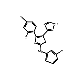 Clc1cccc(Nc2nc(-c3ccc(Cl)cc3Cl)c(-c3nc[nH]n3)s2)c1